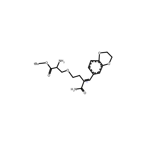 CC(C)(C)OC(=O)C(N)COCC/C(=C\c1ccc2c(c1)OCCO2)C(N)=O